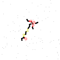 CCO[Si](CCCSCCSC(=O)CC)(OCC)OCC